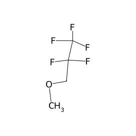 COCC(F)(F)C(F)(F)F